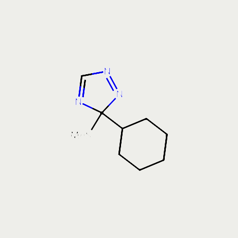 CSC1(C2CCCCC2)N=CN=N1